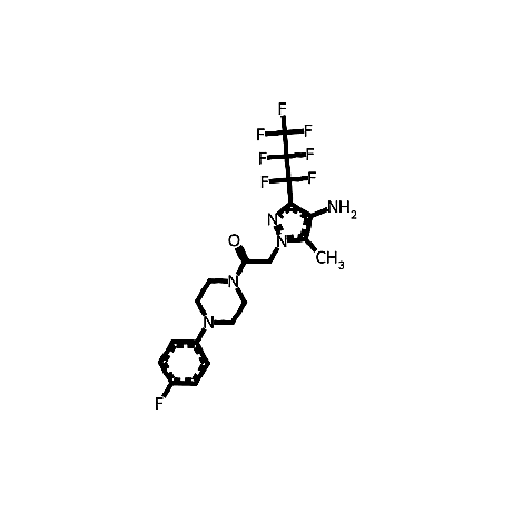 Cc1c(N)c(C(F)(F)C(F)(F)C(F)(F)F)nn1CC(=O)N1CCN(c2ccc(F)cc2)CC1